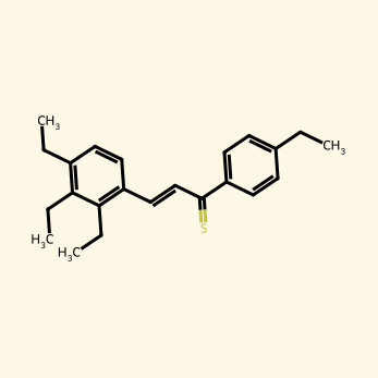 CCc1ccc(C(=S)C=Cc2ccc(CC)c(CC)c2CC)cc1